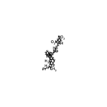 CC(C)CCC[C@@H](C)[C@H]1CCC2C3CC=C4C[C@@H](N(CCCNC(=O)CCCCCNc5ccc([N+](=O)[O-])cc5[N+](=O)[O-])S(=O)(=O)c5ccccc5[N+](=O)[O-])CC[C@]4(C)C3CC[C@@]21C